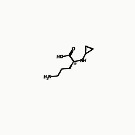 NCCC[C@H](NC1CC1)C(=O)O